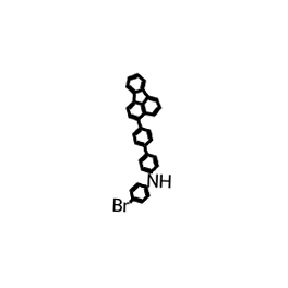 Brc1ccc(Nc2ccc(-c3ccc(-c4ccc5c6c(cccc46)-c4ccccc4-5)cc3)cc2)cc1